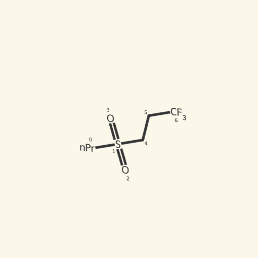 [CH2]CCS(=O)(=O)CCC(F)(F)F